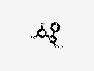 CCOC(=O)c1cc(-c2ccncc2)n(-c2cc(C(F)(F)F)cc(C(F)(F)F)c2)n1